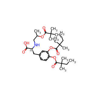 CCC(C)(C)C(=O)Oc1ccc(C[C@H](NCC(C)OC(=O)C(C)(C)C)C(=O)O)cc1OC(=O)C(C)(C)CC